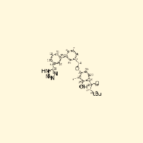 Cc1c(OCc2cccc(-c3cccc(-c4nnn[nH]4)c3)c2)ccc(C(=O)CC(C)(C)C)c1O